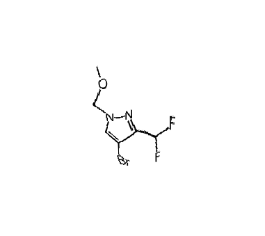 COCn1cc(Br)c(C(F)F)n1